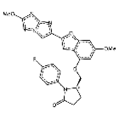 COc1cc(OC[C@H]2CCC(=O)N2c2ccc(F)cc2)c2cc(-c3cn4nc(OC)sc4n3)oc2c1